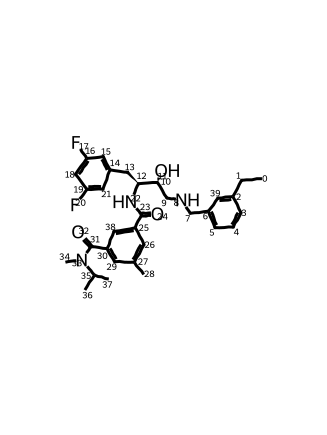 CCc1cccc(CNC[C@@H](O)[C@H](Cc2cc(F)cc(F)c2)NC(=O)c2cc(C)cc(C(=O)N(C)C(C)C)c2)c1